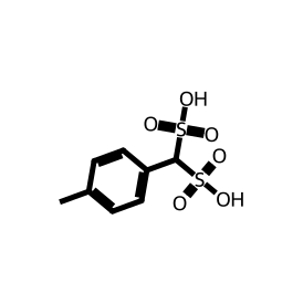 Cc1ccc(C(S(=O)(=O)O)S(=O)(=O)O)cc1